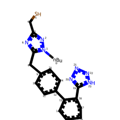 CCCCn1nc(CS)nc1Cc1ccc(-c2ccccc2-c2nnn[nH]2)cc1